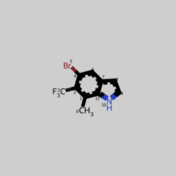 Cc1c(C(F)(F)F)c(Br)cc2cc[nH]c12